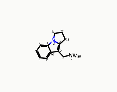 CNCc1c2n(c3ccccc13)CCC2